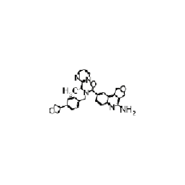 C[C@H](c1ncccn1)N(Cc1ccc(C2COC2)cc1)C(=O)c1ccc2nc(N)c3c(c2c1)COC3